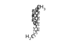 C=CCCC1CCC(C2CCC(c3ccc(-c4ccc(OCC)c(F)c4F)c(F)c3F)OC2)CC1